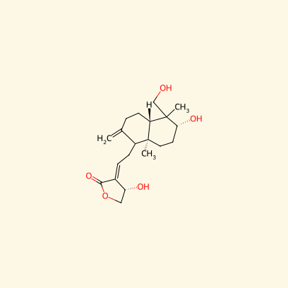 C=C1CC[C@@H]2C(C)(CO)[C@H](O)CC[C@@]2(C)C1C/C=C1/C(=O)OC[C@H]1O